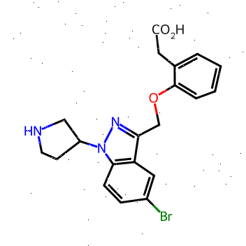 O=C(O)Cc1ccccc1OCc1nn(C2CCNC2)c2ccc(Br)cc12